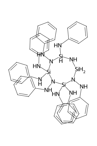 c1ccc(NN2[SiH2]N[SiH](Nc3ccccc3)N(Nc3ccccc3)[Si](Nc3ccccc3)(Nc3ccccc3)N(Nc3ccccc3)[Si]2(Nc2ccccc2)Nc2ccccc2)cc1